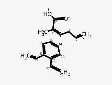 C=CCC=C(C)C(=O)O.C=Cc1ccccc1C=C